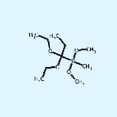 CCOC(CC)(OCC)[Si](C)(OC)OC